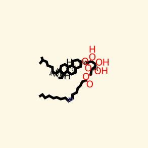 CCCCCCCC/C=C\CCCCCC(=O)OCC1O[C@@H](O[C@H]2CC[C@@]3(C)C(=CC[C@H]4[C@@H]5CC[C@H]([C@H](C)CCCC(C)C)[C@@]5(C)CC[C@@H]43)C2)C(O)C(O)[C@@H]1O